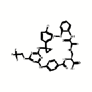 COc1ccccc1NC(=O)C(=O)NC[C@H](NC(=O)c1ccc(Nc2nc(NC3(c4ccc(Cl)cc4)CC3)nc(OCC(F)(F)F)n2)cc1)C(=O)O